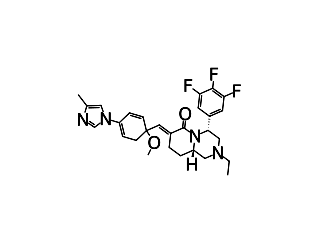 CCN1C[C@@H]2CC/C(=C\C3(OC)C=CC(n4cnc(C)c4)=CC3)C(=O)N2[C@H](c2cc(F)c(F)c(F)c2)C1